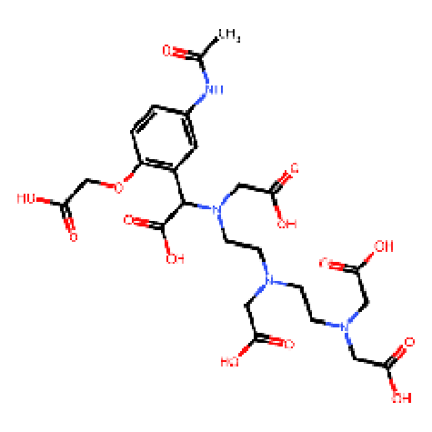 CC(=O)Nc1ccc(OCC(=O)O)c(C(C(=O)O)N(CCN(CCN(CC(=O)O)CC(=O)O)CC(=O)O)CC(=O)O)c1